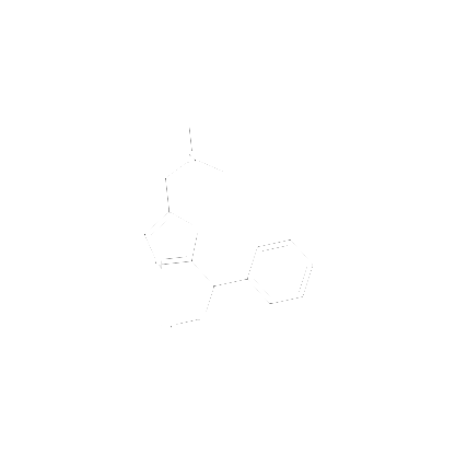 CCCCCCOC(c1ccccc1)c1ncc(CN(C)C)o1